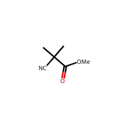 COC(=O)C(C)(C)[14C]#N